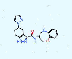 CN1C[C@@H](NC(=O)c2n[nH]c3c2CC(n2cccn2)CC3)COc2ccccc21